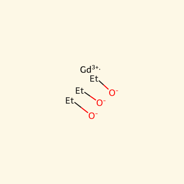 CC[O-].CC[O-].CC[O-].[Gd+3]